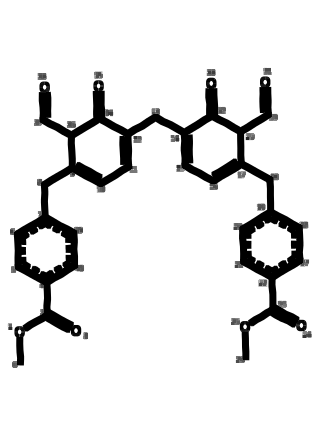 COC(=O)c1ccc(CC2=CC=C(CC3=CC=C(Cc4ccc(C(=O)OC)cc4)C(C=O)C3=O)C(=O)C2C=O)cc1